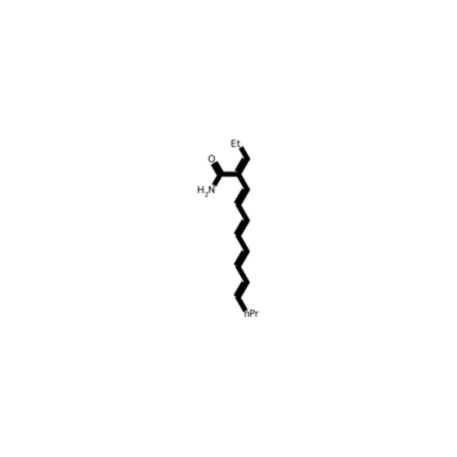 CCC=C(C=CC=CC=CC=CCCC)C(N)=O